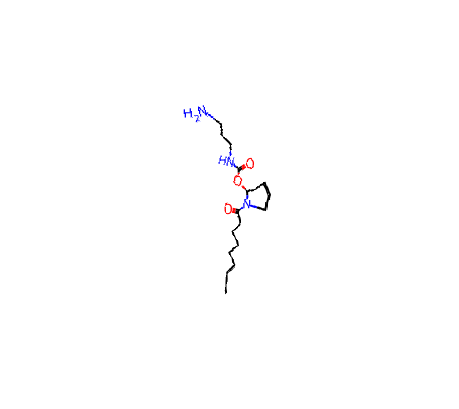 CCCCCCCC(=O)N1CCC[C@@H]1OC(=O)NCCCN